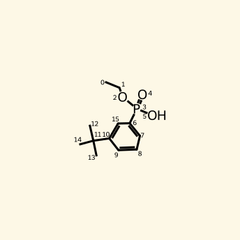 CCOP(=O)(O)c1cccc(C(C)(C)C)c1